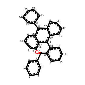 O=C(c1ccccc1)c1ccccc1-c1c2ccccc2c(-c2ccccc2)c2ccccc12